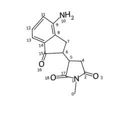 CN1C(=O)CC(C2Cc3c(N)cccc3C2=O)C1=O